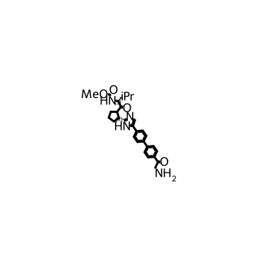 COC(=O)N[C@H](C(=O)C1CCC[C@H]1c1ncc(-c2ccc(-c3ccc(C(=O)CN)cc3)cc2)[nH]1)C(C)C